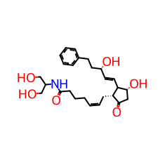 O=C(CCC/C=C\C[C@H]1C(=O)C[C@@H](O)C1/C=C/[C@@H](O)CCc1ccccc1)NC(CO)CO